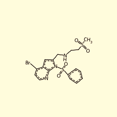 CS(=O)(=O)CCNCc1cc2c(Br)ccnc2n1S(=O)(=O)c1ccccc1